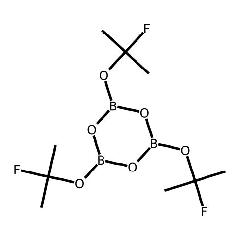 CC(C)(F)OB1OB(OC(C)(C)F)OB(OC(C)(C)F)O1